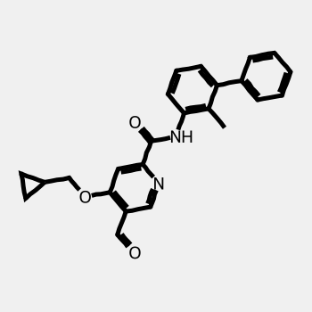 Cc1c(NC(=O)c2cc(OCC3CC3)c(C=O)cn2)cccc1-c1ccccc1